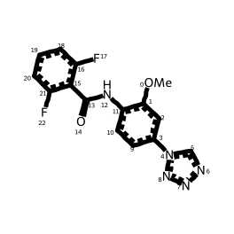 COc1cc(-n2cnnn2)ccc1NC(=O)c1c(F)cccc1F